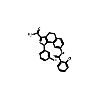 Cc1cccc(-n2nc(C(N)=O)c3c2-c2cc(NC(=O)c4ccccc4Cl)ccc2CC3)c1